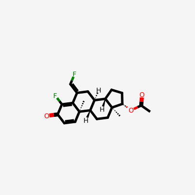 CC(=O)O[C@H]1CC[C@H]2[C@@H]3CC(=CF)C4=C(F)C(=O)C=C[C@]4(C)[C@H]3CC[C@]12C